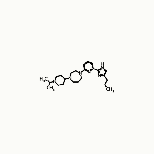 CCCc1c[nH]c(-c2cccc(N3CCCN(C4CCN(C(C)C)CC4)CC3)n2)n1